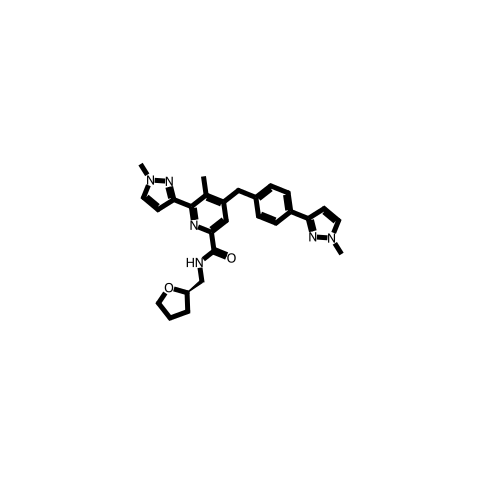 Cc1c(Cc2ccc(-c3ccn(C)n3)cc2)cc(C(=O)NC[C@H]2CCCO2)nc1-c1ccn(C)n1